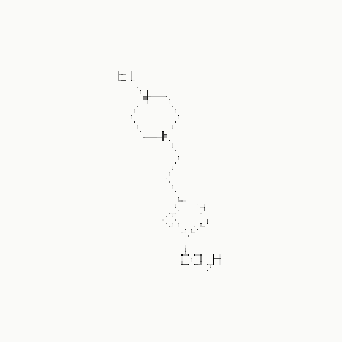 CCN1CCN(CCc2ccc(C(=O)O)o2)CC1